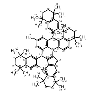 Cc1cc2c3c(c1)N(c1cc4c(cc1C)C(C)(C)CCC4(C)C)c1c(sc4cc5c(cc14)C(C)(C)CCC5(C)C)B3c1ccc3c(c1N2c1ccc2c(c1)C(C)(C)CCC2(C)C)C(C)(C)CCC3(C)C